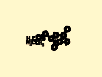 CC(C)(C)c1ccc2c(c1)sc1c(-c3ccc(-n4c5ccccc5c5cc(-c6ccccc6-c6cc(-c7ccccc7)cc(-c7ccccc7)n6)ccc54)cc3)cccc12